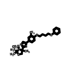 CC1(C)OCC(C)(c2ncc(-c3ccc(OCCCCOc4ccccc4)c(C(F)(F)F)c3)s2)N1C(=O)O